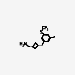 Cc1cc(C[C@H]2C[C@@H](CN)C2)cc(SC(F)(F)F)c1